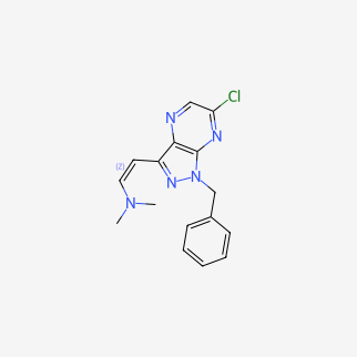 CN(C)/C=C\c1nn(Cc2ccccc2)c2nc(Cl)cnc12